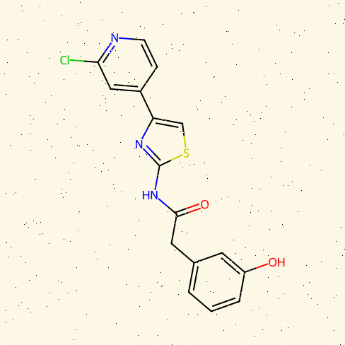 O=C(Cc1cccc(O)c1)Nc1nc(-c2ccnc(Cl)c2)cs1